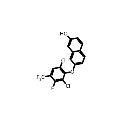 Oc1ccc2ccc(Oc3c(Cl)cc(C(F)(F)F)c(F)c3Cl)cc2c1